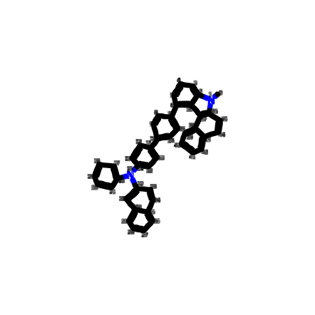 Cn1c2cccc(-c3ccc(-c4ccc(N(c5ccccc5)c5ccc6ccccc6c5)cc4)cc3)c2c2c3ccccc3ccc21